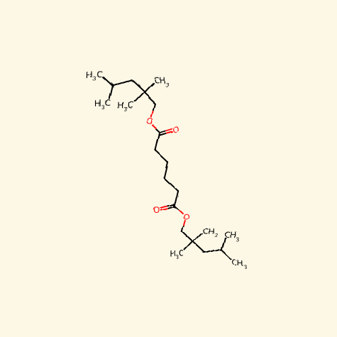 CC(C)CC(C)(C)COC(=O)CCCCC(=O)OCC(C)(C)CC(C)C